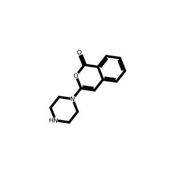 O=c1oc(N2CCNCC2)cc2ccccc12